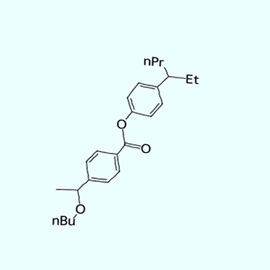 CCCCOC(C)c1ccc(C(=O)Oc2ccc(C(CC)CCC)cc2)cc1